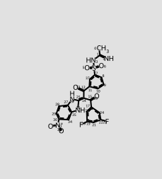 CC(=N)NS(=O)(=O)c1cccc(C(=O)C(C(=O)c2cc(F)cc(F)c2)=C2Nc3ccc([N+](=O)[O-])cc3N2)c1